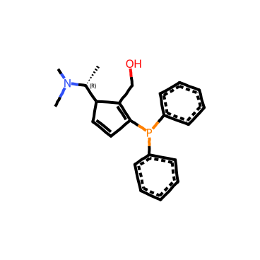 C[C@H](C1C=CC(P(c2ccccc2)c2ccccc2)=C1CO)N(C)C